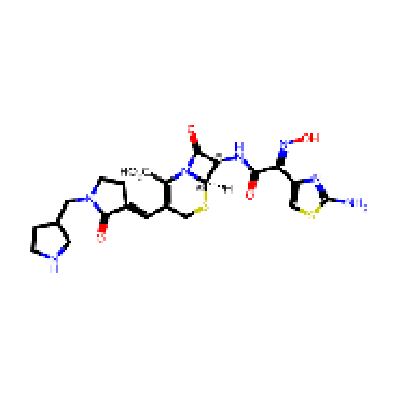 Nc1nc(C(=NO)C(=O)N[C@@H]2C(=O)N3C(C(=O)O)=C(C=C4CCN(CC5CCNC5)C4=O)CS[C@H]23)cs1